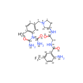 Cc1ccc(CN2CC[C@@H](NC(=O)CNC(=O)c3cc(C(F)(F)F)ccc3N)C2)cc1N(C(N)=O)C(N)=O